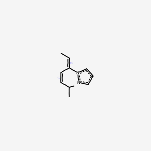 C/C=C(\C=C/C(C)C)n1cccn1